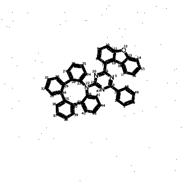 c1ccc(-c2nc(-c3cccc4oc5ccccc5c34)nc(-n3c4ccccc4c4ccccc4c4ccccc4c4ccccc43)n2)cc1